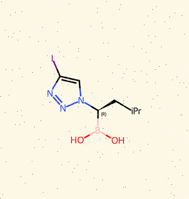 CC(C)C[C@@H](B(O)O)n1cc(I)nn1